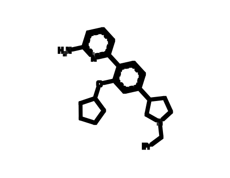 CC(C)CN1CCC(c2ccc(-c3cccc(N)n3)c(OC3CCCC3)c2)C1